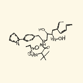 C=C/C=C\C(=C/C)CC(NO)C(O)CN(Cc1ccc(-c2ccccn2)cc1)NC(=O)C(NS(=O)(=O)CC)C(C)(C)C